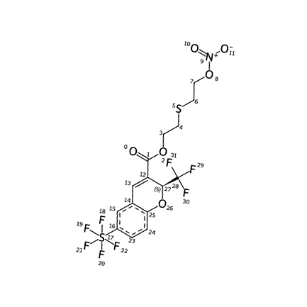 O=C(OCCSCCO[N+](=O)[O-])C1=Cc2cc(S(F)(F)(F)(F)F)ccc2O[C@@H]1C(F)(F)F